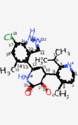 Cc1ccnc(C(C)C)c1C1C=C(c2c(C)cc(Cl)c3[nH]ncc23)NC(=O)C1=O